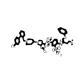 CN(C)CCC(CSc1ccccc1)Nc1ccc(S(=O)(=O)Nc2nc(Cl)nc3c2CCN(C2CCN(Cc4ccccc4-c4ccc(Cl)cc4)CC2)C3)cc1S(=O)(=O)C(F)(F)F